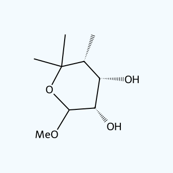 COC1OC(C)(C)[C@H](C)[C@H](O)[C@@H]1O